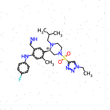 CCn1cc(S(=O)(=O)N2CCN(CC(C)C)[C@H](c3cc(C=N)c(Nc4ccc(F)cc4)cc3C)C2)nn1